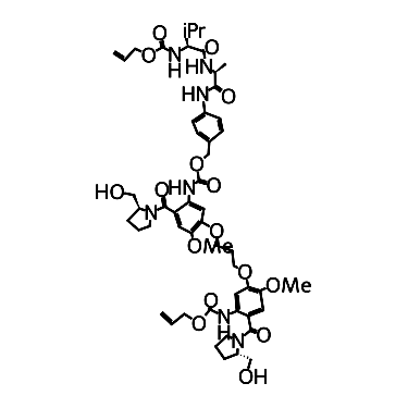 C=CCOC(=O)Nc1cc(OCCCOc2cc(NC(=O)OCc3ccc(NC(=O)[C@H](C)NC(=O)[C@@H](NC(=O)OCC=C)C(C)C)cc3)c(C(=O)N3CCC[C@H]3CO)cc2OC)c(OC)cc1C(=O)N1CCC[C@H]1CO